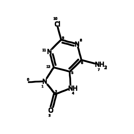 Cn1c(=O)[nH]c2c(N)nc(Cl)nc21